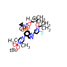 C=C(C)C(=O)N1C[C@H](n2ncc3c(N4C[C@H](C)N(C(=O)OC(C)(C)C)[C@@H](C)C4)cc(S(=O)(=O)N(COCC[Si](C)(C)C)C4(C)CC4)cc32)C[C@H]1CF